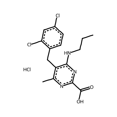 CCCNc1nc(C(=O)O)nc(C)c1Cc1ccc(Cl)cc1Cl.Cl